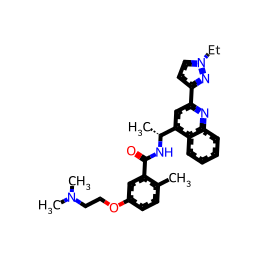 CCn1ccc(-c2cc([C@@H](C)NC(=O)c3cc(OCCN(C)C)ccc3C)c3ccccc3n2)n1